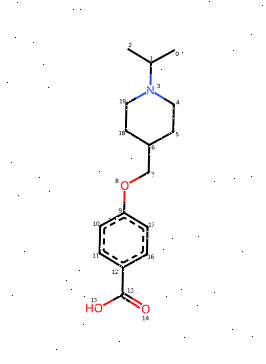 CC(C)N1CCC(COc2ccc(C(=O)O)cc2)CC1